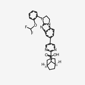 O=C(O)C1[C@@H]2CC[C@H]1CN(c1ncc(-c3ccc4c(c3)nc3n4CCN3c3ccccc3OC(F)F)cn1)C2